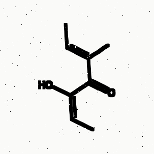 CC=C(C)C(=O)/C(O)=C\C